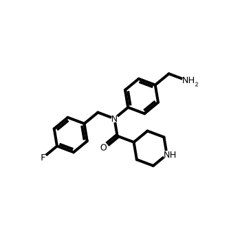 NCc1ccc(N(Cc2ccc(F)cc2)C(=O)C2CCNCC2)cc1